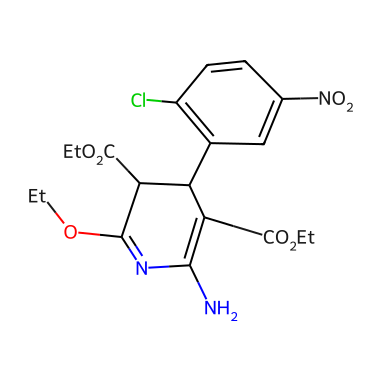 CCOC(=O)C1=C(N)N=C(OCC)C(C(=O)OCC)C1c1cc([N+](=O)[O-])ccc1Cl